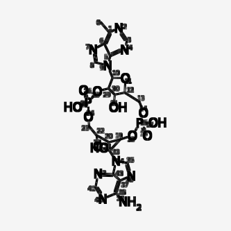 Cc1ncnc2c1ncn2C1OC2COP(=O)(O)OC3C(O)C(COP(=O)(O)OC1C2O)OC3n1cnc2c(N)ncnc21